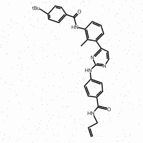 C=CCNC(=O)c1ccc(Nc2nccc(-c3cccc(NC(=O)c4ccc(C(C)(C)C)cc4)c3C)n2)cc1